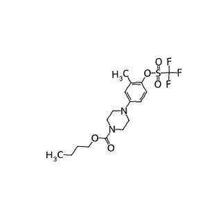 CCCCOC(=O)N1CCN(c2ccc(OS(=O)(=O)C(F)(F)F)c(C)c2)CC1